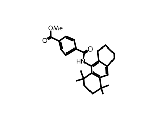 COC(=O)c1ccc(C(=O)Nc2c3c(cc4c2C(C)(C)CCC4(C)C)CCCC3)cc1